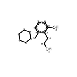 C1CCCCC1.Cc1cccc(O)c1CCO